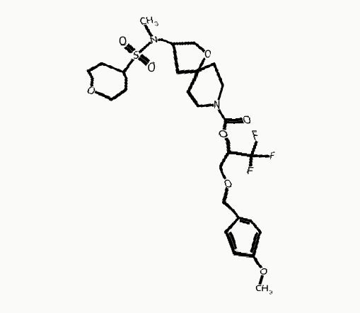 COc1ccc(COCC(OC(=O)N2CCC3(CC2)CC(N(C)S(=O)(=O)C2CCOCC2)CO3)C(F)(F)F)cc1